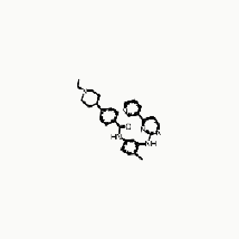 CCN1CCC(c2ccc(C(=O)Nc3ccc(C)c(Nc4nccc(-c5cccnc5)n4)c3)cc2)CC1